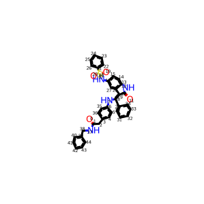 O=C(Cc1ccc(NC(=C2C(=O)Nc3ccc(NS(=O)(=O)c4ccccc4)cc32)c2ccccc2)cc1)NCc1ccccc1